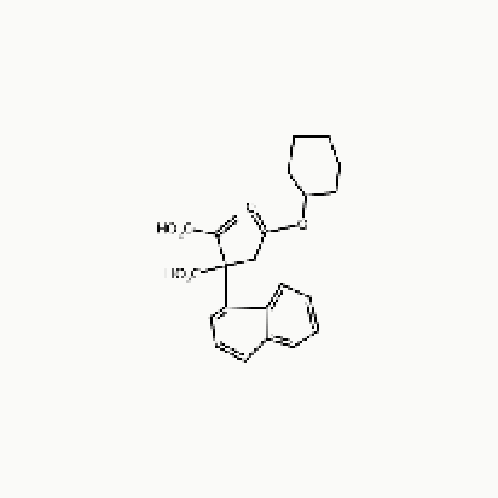 C=C(C(=O)O)C(CC(=O)OC1CCCCC1)(C(=O)O)c1cccc2ccccc12